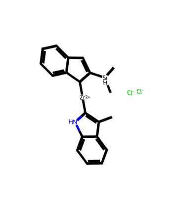 Cc1[c]([Zr+2][CH]2C([SiH](C)C)=Cc3ccccc32)[nH]c2ccccc12.[Cl-].[Cl-]